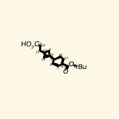 CC(C)(C)OC(=O)c1ccc(C23CC(CCC(=O)O)(C2)C3)cc1